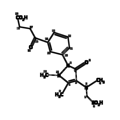 Cc1c(N(C)CS(=O)(=O)O)c(=O)n(-c2cccc(C(=O)CCC(=O)O)c2)n1C